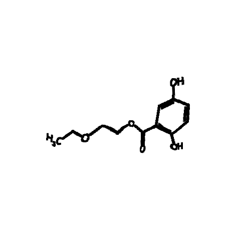 CCOCCOC(=O)c1cc(O)ccc1O